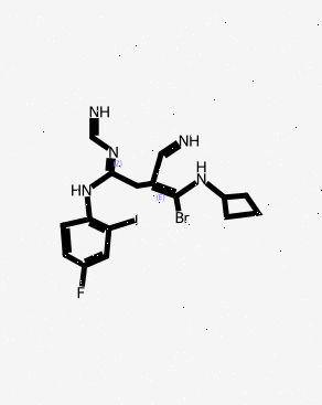 N=C/N=C(/C/C(C=N)=C(\Br)NC1CCC1)Nc1ccc(F)cc1I